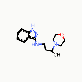 CC(CCNc1n[nH]c2ccccc12)N1CCOCC1